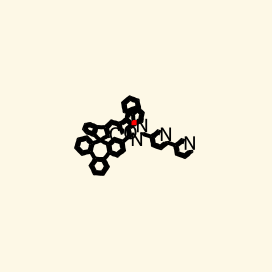 c1ccc(-c2cc(-c3ccc4c(c3)C3(c5ccccc5-c5ccccc5-4)c4ccccc4-c4cc5c(cc43)oc3ccccc35)nc(-c3ccc(-c4cccnc4)nc3)n2)cc1